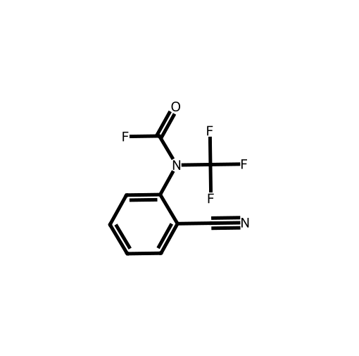 N#Cc1ccccc1N(C(=O)F)C(F)(F)F